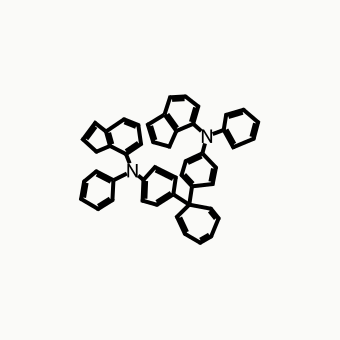 C1=CC=CC(c2ccc(N(c3ccccc3)c3cccc4c3CC=C4)cc2)(c2ccc(N(c3ccccc3)c3cccc4c3CC=C4)cc2)C=C1